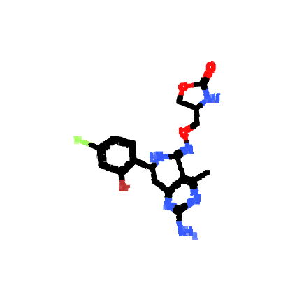 Cc1nc(N)nc2c1C(=NOCC1COC(=O)N1)NC(c1ccc(F)cc1Br)C2